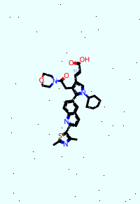 Cc1nc(C)c(-c2ccc3cc(-c4c(CC(=O)N5CCOCC5)c(/C=C/C(=O)O)cn4C4CCCCC4)ccc3n2)s1